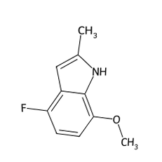 COc1ccc(F)c2cc(C)[nH]c12